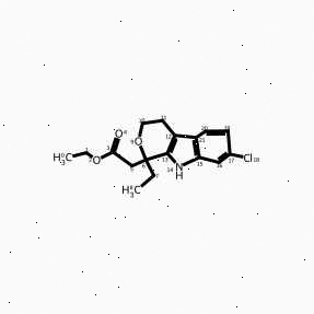 CCOC(=O)CC1(CC)OCCc2c1[nH]c1cc(Cl)ccc21